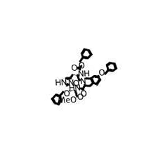 COC(=O)[C@H](COCc1ccccc1)NC(=O)C1Cc2ccc(OCc3ccccc3)cc2CN1C(=O)[C@H](Cc1c[nH]cn1)NC(=O)OCc1ccccc1